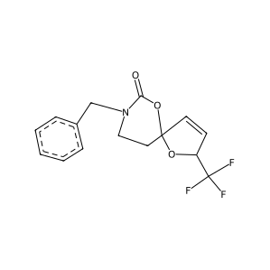 O=C1OC2(C=CC(C(F)(F)F)O2)CCN1Cc1ccccc1